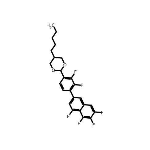 CCCCCC1COC(c2ccc(-c3cc(F)c4c(F)c(F)c(F)cc4c3)c(F)c2F)OC1